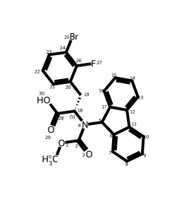 COC(=O)N(C1c2ccccc2-c2ccccc21)[C@@H](Cc1cccc(Br)c1F)C(=O)O